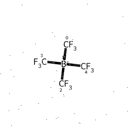 FC(F)(F)[B-](C(F)(F)F)(C(F)(F)F)C(F)(F)F